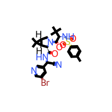 Cc1ccc(S(=O)(=O)N[C@H](C(=O)N2C[C@H]3[C@@H]([C@H]2C(=O)NC(C#N)c2cncc(Br)c2)C3(C)C)C(C)(C)C)cc1